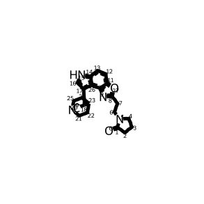 O=C1CCCN1CCc1nc2c(ccc3[nH]cc(C4CN5CCC4CC5)c32)o1